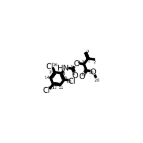 C=C(C)C(OC(=O)Nc1c(Cl)cc(Cl)cc1Cl)C(=O)OC